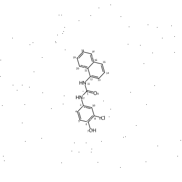 O=C(Nc1ccc(O)c(Cl)c1)Nc1cccc2ccccc12